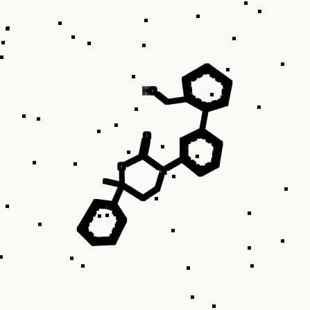 CC1(c2ccccc2)CCN(c2cccc(-c3ccccc3CO)c2)C(=O)O1